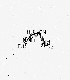 C=CC(=C)NC1CCN(CCn2c(C#N)cc3c(C)c(CN4CCC(Nc5ncnc6sc(CC(F)(F)F)cc56)CC4)ccc32)CC1